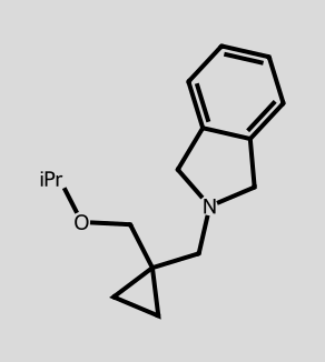 CC(C)OCC1(CN2Cc3ccccc3C2)CC1